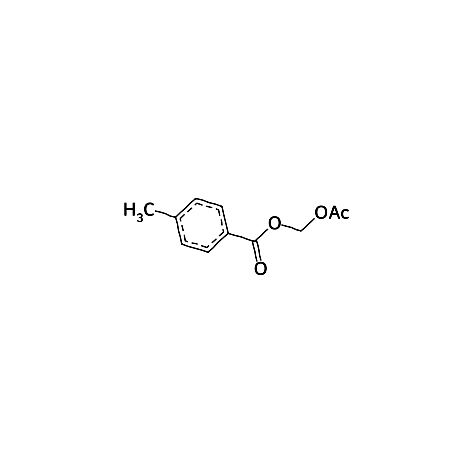 CC(=O)OCOC(=O)c1ccc(C)cc1